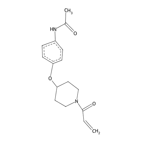 C=CC(=O)N1CCC(Oc2ccc(NC(C)=O)cc2)CC1